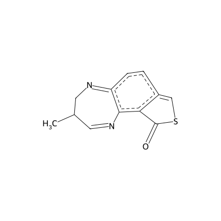 CC1C=Nc2c3c(ccc2=NC1)=CSC3=O